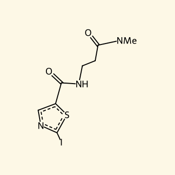 CNC(=O)CCNC(=O)c1cnc(I)s1